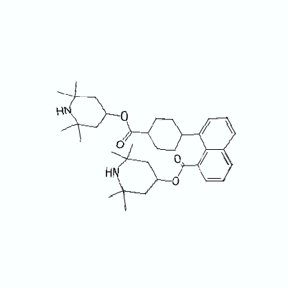 CC1(C)CC(OC(=O)c2cccc3cccc(C4CCC(C(=O)OC5CC(C)(C)NC(C)(C)C5)CC4)c23)CC(C)(C)N1